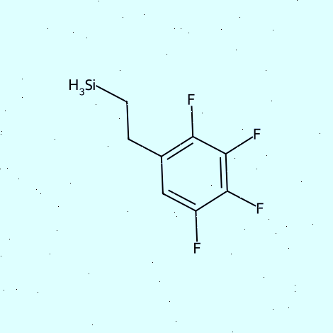 Fc1cc(CC[SiH3])c(F)c(F)c1F